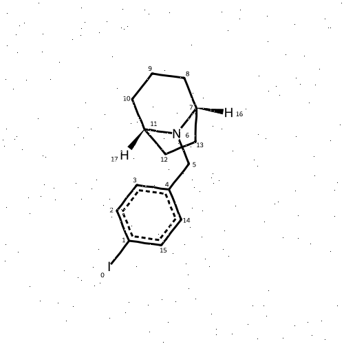 Ic1ccc(CN2[C@@H]3CCC[C@H]2CC3)cc1